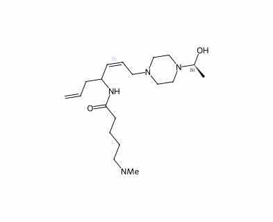 C=CCC(/C=C\CN1CCN([C@H](C)O)CC1)NC(=O)CCCCNC